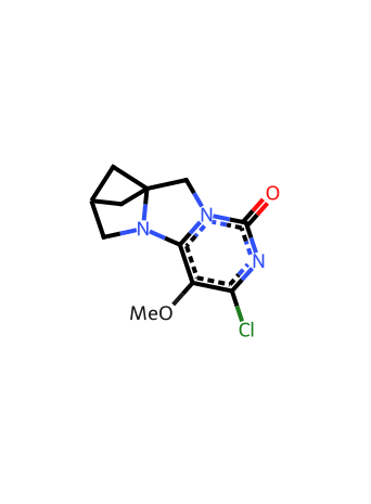 COc1c(Cl)nc(=O)n2c1N1CC3CC1(C3)C2